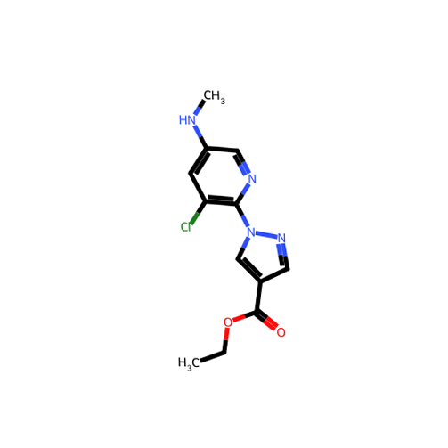 CCOC(=O)c1cnn(-c2ncc(NC)cc2Cl)c1